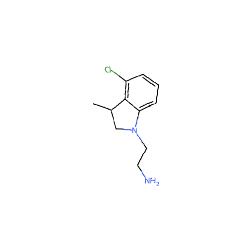 CC1CN(CCN)c2cccc(Cl)c21